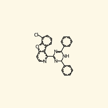 Clc1cccc2c1oc1ccnc(C3=NC(c4ccccc4)NC(c4ccccc4)=N3)c12